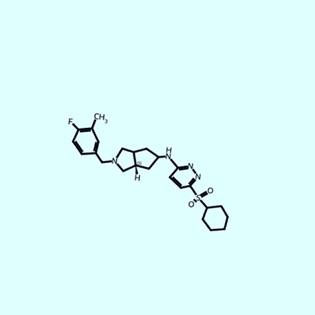 Cc1cc(CN2CC3CC(Nc4ccc(S(=O)(=O)C5CCCCC5)nn4)C[C@@H]3C2)ccc1F